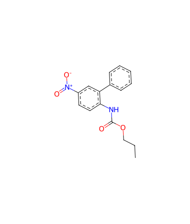 CCCOC(=O)Nc1ccc([N+](=O)[O-])cc1-c1ccccc1